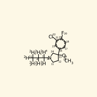 [2H]C([2H])([2H])C([2H])([2H])C([2H])([2H])N1CCC(OC)(c2ccc(F)c(Cl)c2)C1